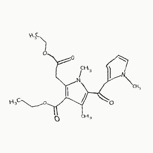 CCOC(=O)Cc1c(C(=O)OCC)c(C)c(C(=O)c2cccn2C)n1C